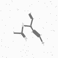 C=CC(C#CBr)OC(C)=O